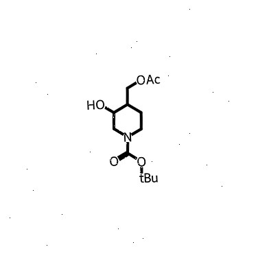 CC(=O)OCC1CCN(C(=O)OC(C)(C)C)CC1O